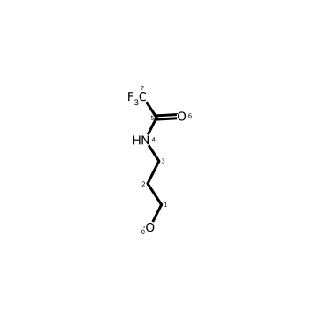 [O]CCCNC(=O)C(F)(F)F